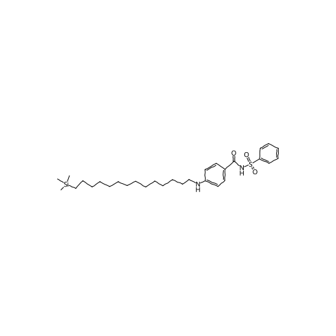 C[Si](C)(C)CCCCCCCCCCCCCCNc1ccc(C(=O)NS(=O)(=O)c2ccccc2)cc1